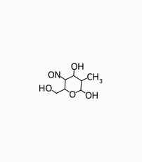 CC1C(O)OC(CO)C(N=O)C1O